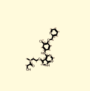 CN(CCOc1n[nH]c2ncnc(Nc3ccc(OCc4ccccn4)c(Cl)c3)c12)C(=O)CO